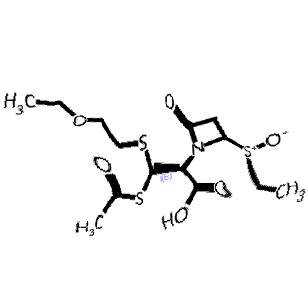 CCOCCS/C(SC(C)=O)=C(/C(=O)O)N1C(=O)CC1[S+]([O-])CC